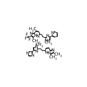 Cc1cc(CCc2nc(-c3ccccn3)cn2C)nn2c(C)c(C(F)(F)F)nc12.Cc1nc2ccc(CCc3nc(-c4cnccn4)cn3C)nn2c1C